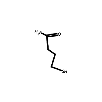 NC(=O)CCCS